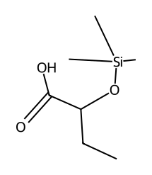 CCC(O[Si](C)(C)C)C(=O)O